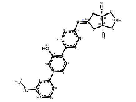 COc1cc(-c2ccc(-c3cnc(/C=C4/C[C@H]5CNC[C@H]5C4)cn3)c(O)c2)ccn1